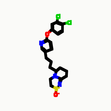 [O-][S+]1CCN2C(=N1)CCCC2CCCc1ccc(Oc2ccc(Cl)c(Cl)c2)nc1